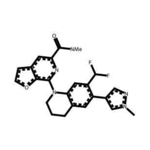 CNC(=O)c1cc2ccoc2c(N2CCCc3cc(-c4cnn(C)c4)c(C(F)F)cc32)n1